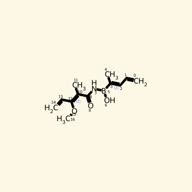 C=C/C=C(\C)B(O)NC(=O)/C(C)=C(/C=C)OC